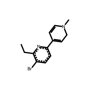 CCc1nc(C2=CCN(C)C=C2)ccc1Br